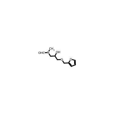 CN(C=O)CC(O)COCc1ccco1